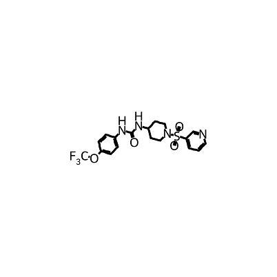 O=C(Nc1ccc(OC(F)(F)F)cc1)NC1CCN(S(=O)(=O)c2cccnc2)CC1